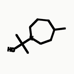 CC1CCCN(C(C)(C)O)CC1